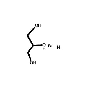 OCC(O)CO.[Fe].[Ni]